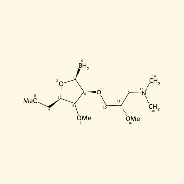 B[C@@H]1O[C@H](COC)C(OC)[C@@H]1OC[C@H](CN(C)C)OC